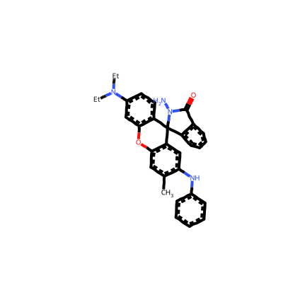 CCN(CC)c1ccc2c(c1)Oc1cc(C)c(Nc3ccccc3)cc1C21c2ccccc2C(=O)N1N